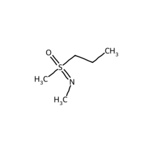 CCCS(C)(=O)=NC